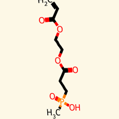 C=CC(=O)OCCOC(=O)CCP(C)(=O)O